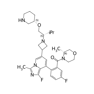 Cc1nc(F)c2c(-c3ccc(F)cc3C(=O)N3CCOC[C@H]3C)cc(C3CN([C@H](CO[C@H]4CCCNC4)C(C)C)C3)cn12